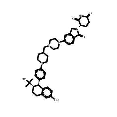 CC(C)(O)[C@@H]1CCc2cc(O)ccc2[C@@H]1c1ccc(N2CCC(CN3CCN(c4ccc5c(c4)CN([C@H]4CCC(=O)NC4=O)C5=O)CC3)CC2)cc1